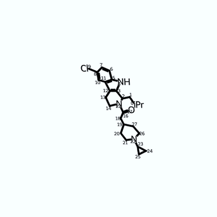 CC(C)CC1c2[nH]c3ccc(Cl)cc3c2CCN1C(=O)CC1CCN(C2CC2)CC1